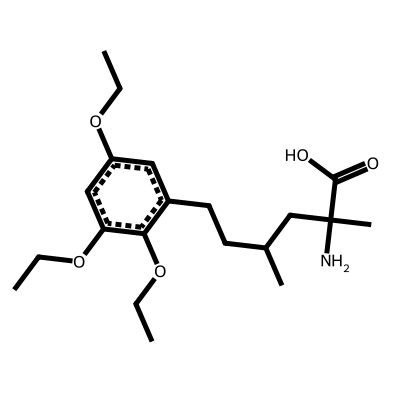 CCOc1cc(CCC(C)CC(C)(N)C(=O)O)c(OCC)c(OCC)c1